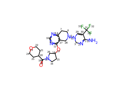 NC1=NCN(N2CCc3ncnc(OC4CCN(C(=O)C5CCOCC5)C4)c3C2)C=C1C(F)(F)F